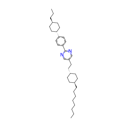 CCCCCCCC[C@H]1CC[C@H](CCc2cnc(-c3ccc([C@H]4CC[C@H](CCC)CC4)cc3)nc2)CC1